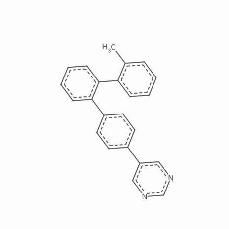 Cc1ccccc1-c1ccccc1-c1ccc(-c2cncnc2)cc1